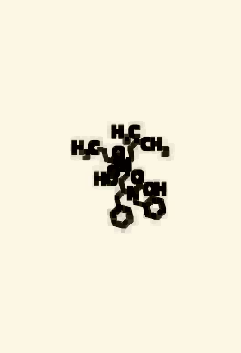 CCCS(=O)(=O)N(CCC(C)C)C[C@@H](O)[C@H](Cc1ccccc1)N(Cc1ccccc1)C(=O)O